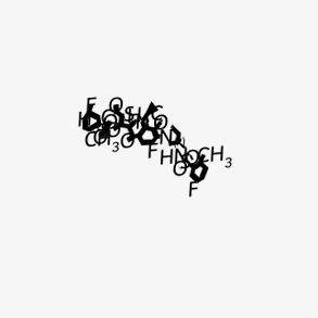 COc1c(N2CC[C@@H](CNS(=O)(=O)c3cc(F)ccc3C)C2)c(F)cc2c(=O)c3c(OS(=O)(=O)c4cc(F)ccc4C)c(C(C)=O)sc3n(C3CC3)c12